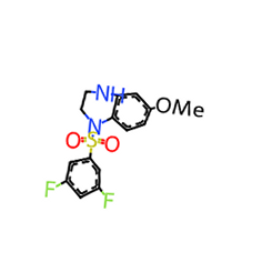 COc1ccc2c(c1)NCCN2S(=O)(=O)c1cc(F)cc(F)c1